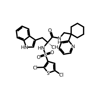 C[C@@](Cc1c[nH]c2ccccc12)(NS(=O)(=O)c1cc(Cl)sc1Cl)C(=O)NCC1(c2ccccn2)CCCCC1